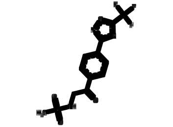 CS(=O)(=O)NCC(=O)c1ccc(-c2noc(C(F)(F)F)n2)cc1